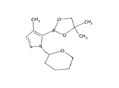 Cc1cnn(C2CCCCO2)c1B1OCC(C)(C)O1